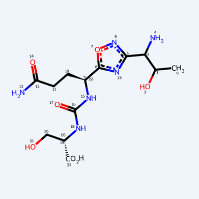 CC(O)C(N)c1noc([C@H](CCC(N)=O)NC(=O)N[C@@H](CO)C(=O)O)n1